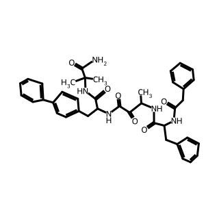 CC(NC(=O)C(Cc1ccccc1)NC(=O)Cc1ccccc1)C(=O)C(=O)NC(Cc1ccc(-c2ccccc2)cc1)C(=O)NC(C)(C)C(N)=O